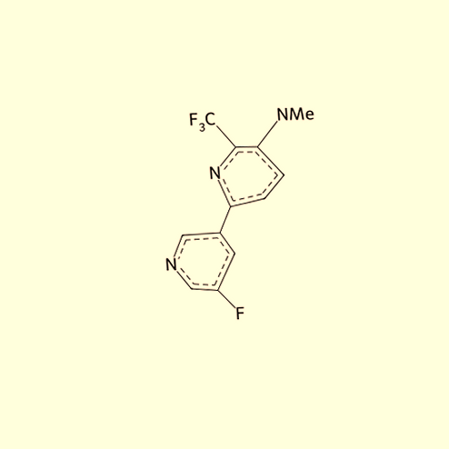 CNc1ccc(-c2cncc(F)c2)nc1C(F)(F)F